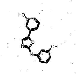 Oc1cccc(Nc2ncc(-c3cccc(O)c3)o2)c1